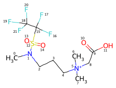 CN(CCC[N+](C)(C)CC(=O)O)S(=O)(=O)C(F)(F)C(F)(F)F